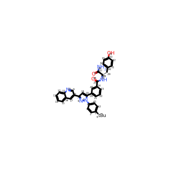 CC(C)(C)c1ccc(-n2nc(-c3cnc4ccccc4c3)cc2-c2cccc(C(=O)N[C@@H](Cc3ccc(O)cc3)C(N)=O)c2)cc1